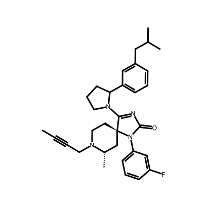 CC#CCN1CC[C@@]2(C[C@@H]1C)C(N1CCCC1c1cccc(CC(C)C)c1)=NC(=O)N2c1cccc(F)c1